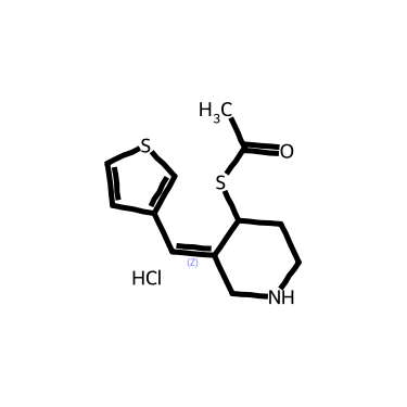 CC(=O)SC1CCNC/C1=C/c1ccsc1.Cl